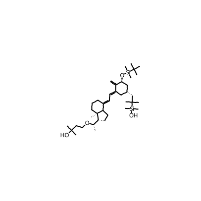 C=C1/C(=C/C=C2\CCC[C@@]3(C)C2CC[C@@H]3[C@H](C)OCCC(C)(C)O)C[C@@H](CC(C)(C)[Si](C)(C)O)C[C@@H]1O[Si](C)(C)C(C)(C)C